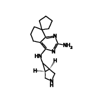 Nc1nc(NC2[C@H]3CNC[C@@H]23)c2c(n1)C1(CCCC1)CCC2